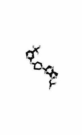 FC(F)Cn1ncc2ncc(N3CCC(Oc4cc(C(F)(F)F)ccn4)CC3)nc21